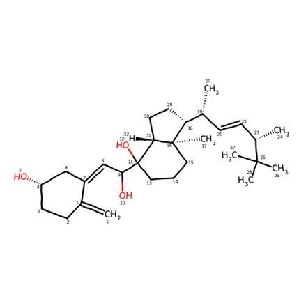 C=C1CC[C@H](O)C/C1=C/C(O)C1(O)CCC[C@]2(C)[C@@H]([C@H](C)/C=C/[C@H](C)C(C)(C)C)CC[C@@H]12